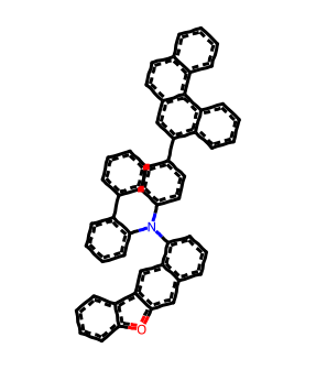 c1ccc(-c2ccccc2N(c2ccc(-c3cc4ccc5ccccc5c4c4ccccc34)cc2)c2cccc3cc4oc5ccccc5c4cc23)cc1